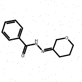 O=C(NN=C1CCCOC1)c1ccccc1